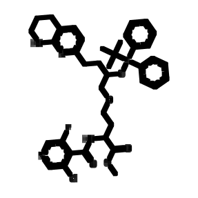 COC(=O)C(CCOCC(CCc1ccc2c(n1)NCCC2)O[Si](c1ccccc1)(c1ccccc1)C(C)(C)C)NC(=O)c1c(F)cncc1Cl